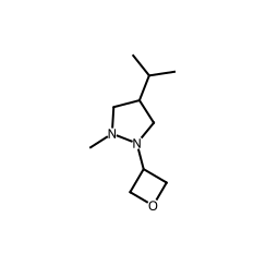 CC(C)C1CN(C)N(C2COC2)C1